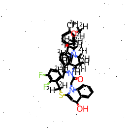 [2H]C([2H])([2H])OC([2H])([2H])C([2H])([2H])N1C([2H])([2H])C([2H])([2H])C([2H])(N(C(=O)CN2C(SC([2H])([2H])c3cccc(F)c3F)=CC(O)c3ccccc32)C([2H])(C)c2ccc(-c3ccc(C(F)(F)F)cc3)cc2)C([2H])([2H])C1([2H])[2H]